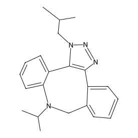 CC(C)Cn1nnc2c1-c1ccccc1N(C(C)C)Cc1ccccc1-2